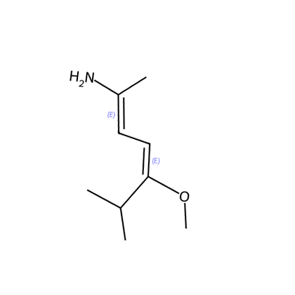 CO/C(=C/C=C(\C)N)C(C)C